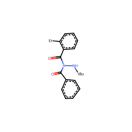 CCc1ccccc1C(=O)N(NC(C)(C)C)C(=O)c1ccccc1